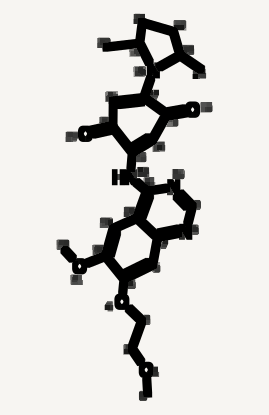 COCCOc1cc2ncnc(NC3=CC(=O)C(N4C(C)CCC4C)=CC3=O)c2cc1OC